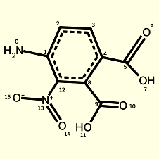 Nc1ccc(C(=O)O)c(C(=O)O)c1[N+](=O)[O-]